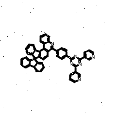 c1cncc(-c2nc(-c3ccc(-c4nc5ccccc5c5c6c(ccc45)C4(c5ccccc5-c5ccccc54)c4ccccc4-6)cc3)nc(-c3cccnc3)n2)c1